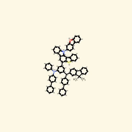 CC1(C)c2ccccc2-c2ccc(C(c3ccc(-c4ccccc4)cc3)c3cc(-c4cc5c6ccccc6n(-c6ccc7c(c6)oc6ccccc67)c5c5c4sc4ccccc45)cc(N(c4ccccc4)c4ccc(-c5ccccc5)cc4)c3)cc21